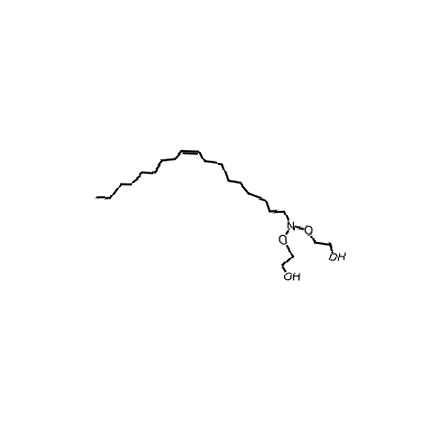 CCCCCCCC/C=C\CCCCCCCCN(OCCO)OCCO